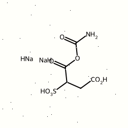 NC(=O)OC(=O)C(CC(=O)O)S(=O)(=O)O.[NaH].[NaH]